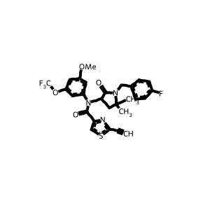 C#Cc1nc(C(=O)N(c2cc(OC)cc(OC(F)(F)F)c2)C2CC(C)(C)N(Cc3ccc(F)cc3)C2=O)cs1